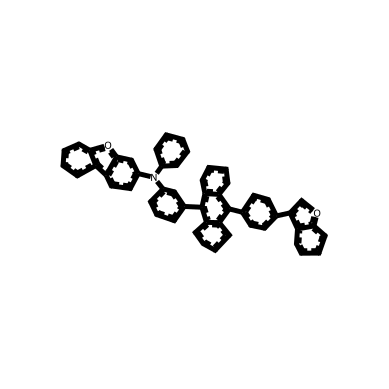 c1ccc(N(c2cccc(-c3c4ccccc4c(-c4ccc(-c5coc6ccccc56)cc4)c4ccccc34)c2)c2ccc3c(c2)oc2ccccc23)cc1